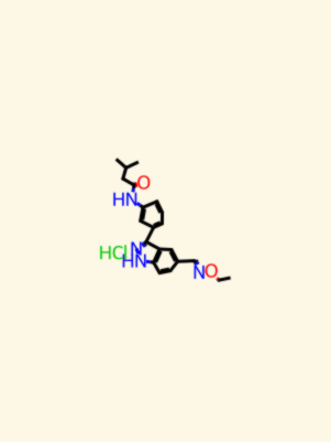 CCON=Cc1ccc2[nH]nc(-c3cccc(NC(=O)CC(C)C)c3)c2c1.Cl